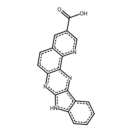 O=C(O)c1cnc2c(ccc3nc4[nH]c5ccccc5c4nc32)c1